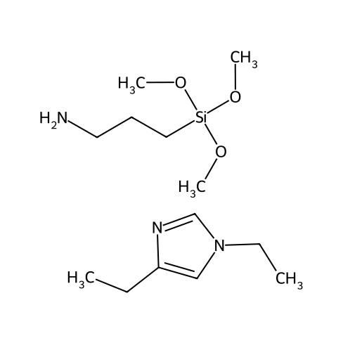 CCc1cn(CC)cn1.CO[Si](CCCN)(OC)OC